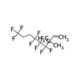 C=C[Si](C)(C)C(F)(F)C(F)(F)C(F)(F)CCC(F)(F)F